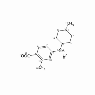 CN1CCC(Nc2ccc(C(=O)[O-])c(C(F)(F)F)c2)CC1.[Li+]